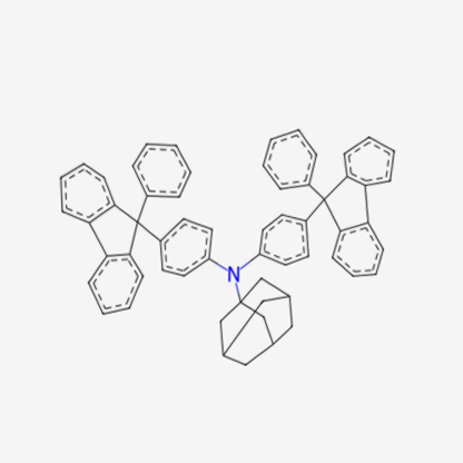 c1ccc(C2(c3ccc(N(c4ccc(C5(c6ccccc6)c6ccccc6-c6ccccc65)cc4)C45CC6CC(CC(C6)C4)C5)cc3)c3ccccc3-c3ccccc32)cc1